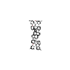 Cc1cc(C)c(C(c2c(C)cc(C)cc2C)C2c3ccccc3B3c4c(cccc42)-c2ccc4cc5c6c(ccc7cc3c2c4c76)-c2cccc3c2B5c2ccccc2C3C(c2c(C)cc(C)cc2C)c2c(C)cc(C)cc2C)c(C)c1